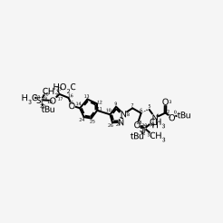 CC(C)(C)OC(=O)NC[C@@H](Cn1cc(-c2ccc(OC[C@@H](O[Si](C)(C)C(C)(C)C)C(=O)O)cc2)cn1)O[Si](C)(C)C(C)(C)C